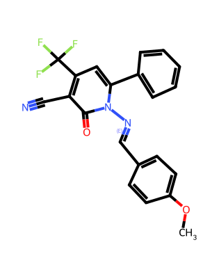 COc1ccc(/C=N/n2c(-c3ccccc3)cc(C(F)(F)F)c(C#N)c2=O)cc1